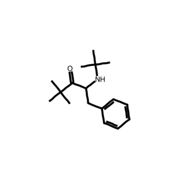 CC(C)(C)NC(Cc1ccccc1)C(=O)C(C)(C)C